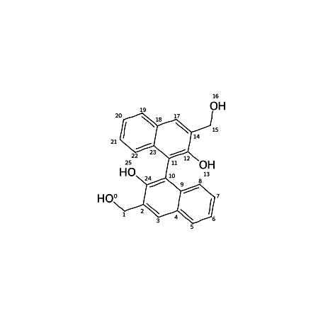 OCc1cc2ccccc2c(-c2c(O)c(CO)cc3ccccc23)c1O